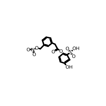 O=C(Cc1cccc(CO[N+](=O)[O-])c1)Oc1ccc(O)cc1S(=O)(=O)O